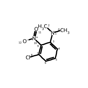 CN(C)c1cccc(Cl)c1[N+](=O)[O-]